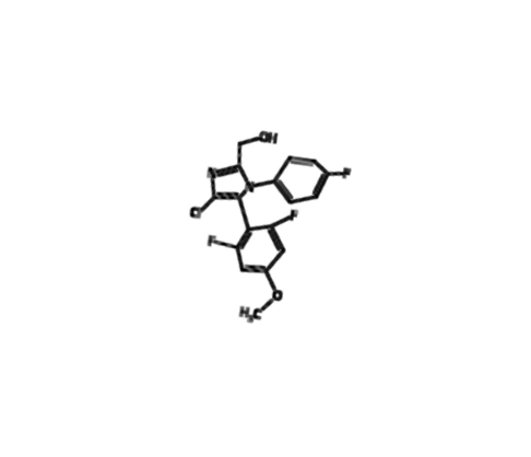 COc1cc(F)c(-c2c(Cl)nc(CO)n2-c2ccc(F)cc2)c(F)c1